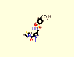 O=C(O)c1ccc(S(=O)(=O)NCC2CNC(C(=O)N3CCSC3)C2)cc1